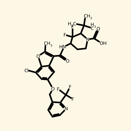 Cc1oc2c(Cl)cc(OCc3cccnc3C(F)(F)F)cc2c1C(=O)NC1CCN(C(=O)O)C(C(C)(C)C)C1(F)F